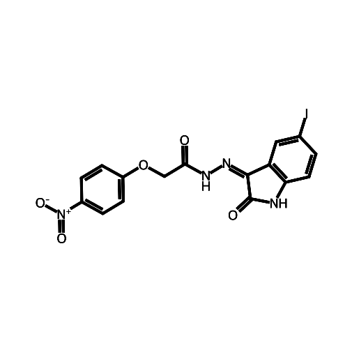 O=C(COc1ccc([N+](=O)[O-])cc1)NN=C1C(=O)Nc2ccc(I)cc21